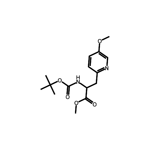 COC(=O)C(Cc1ccc(OC)cn1)NC(=O)OC(C)(C)C